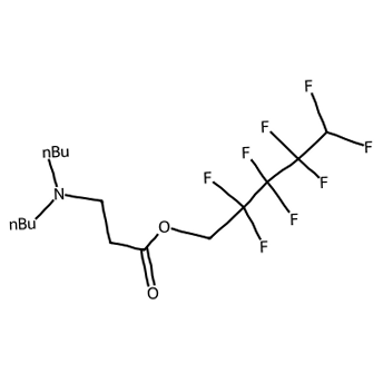 CCCCN(CCCC)CCC(=O)OCC(F)(F)C(F)(F)C(F)(F)C(F)F